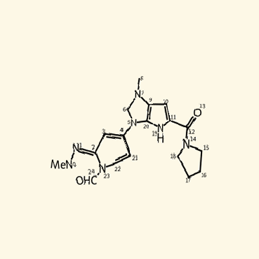 CN/N=c1/cc(N2CN(C)c3cc(C(=O)N4CCCC4)[nH]c32)ccn1C=O